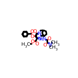 CCOC(=O)c1nc2n(c(=O)c1OC(=O)c1ccccc1)CC1CCC2(NC(=O)C(=O)N(C)C)CC1